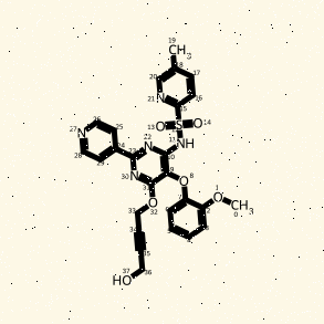 COc1ccccc1Oc1c(NS(=O)(=O)c2ccc(C)cn2)nc(-c2ccncc2)nc1OCC#CCO